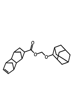 O=C(OCOC1C2CC3CC(C2)CC1C3)C1CC2CC1C1C3C=CC(C3)C21